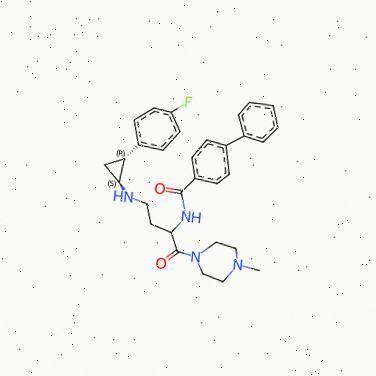 CN1CCN(C(=O)C(CCN[C@H]2C[C@@H]2c2ccc(F)cc2)NC(=O)c2ccc(-c3ccccc3)cc2)CC1